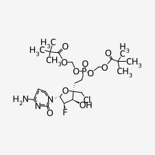 CC(C)(C)C(=O)OCOP(=O)(CC[C@@]1(CCl)O[C@@H](n2ccc(N)nc2=O)[C@H](F)[C@@H]1O)OCOC(=O)C(C)(C)C